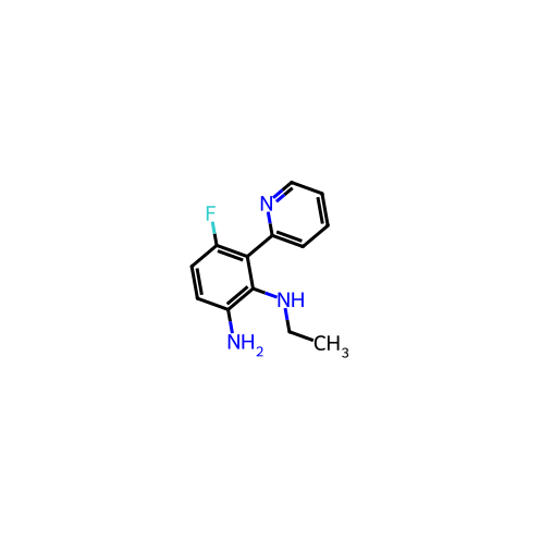 CCNc1c(N)ccc(F)c1-c1ccccn1